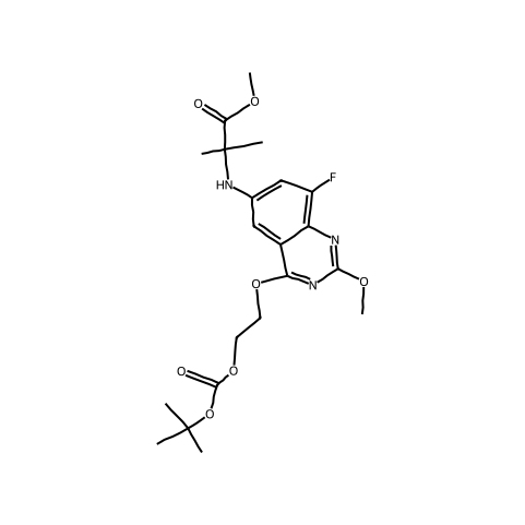 COC(=O)C(C)(C)Nc1cc(F)c2nc(OC)nc(OCCOC(=O)OC(C)(C)C)c2c1